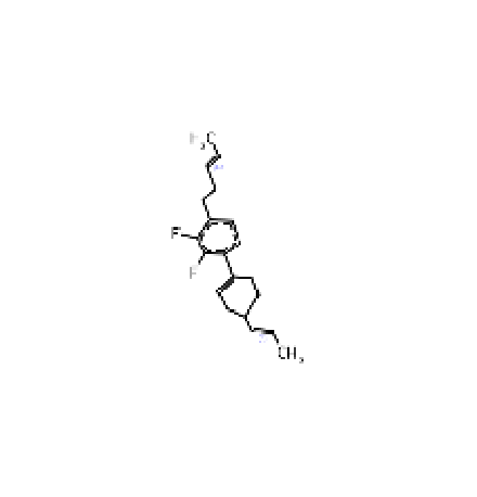 C/C=C/CCc1ccc(C2=CCC(/C=C/C)CC2)c(F)c1F